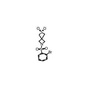 O=S1(=O)CC2(CN(S(=O)(=O)c3ccccc3Br)C2)C1